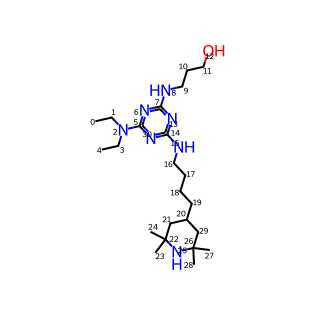 CCN(CC)c1nc(NCCCO)nc(NCCCCC2CC(C)(C)NC(C)(C)C2)n1